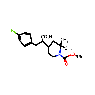 CC(C)(C)OC(=O)N1CCC(C(Cc2ccc(F)cc2)C(=O)O)CC1(C)C